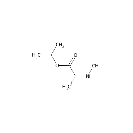 CN[C@H](C)C(=O)OC(C)C